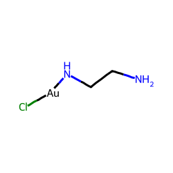 NCC[NH][Au][Cl]